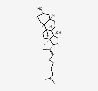 C/C(=N\OCCCN(C)C)[C@H]1CC[C@]2(O)[C@@H]3CC[C@@H]4C[C@@H](O)CC[C@]4(C)[C@H]3CC[C@]12C